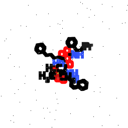 CC(C)CC(NC(=O)OC1(NC(=O)[C@H](NC(=O)c2ccc3ccccc3n2)C(C)(C)S(C)(=O)=O)O[C@@H]1CCCc1ccccc1)c1ccccc1